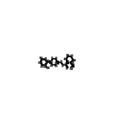 C=C(CCN1CCN(c2ccccc2C)CC1)N1CCCC/C1=N/C